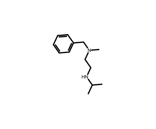 CC(C)NCCN(C)Cc1ccccc1